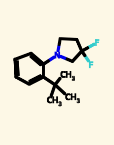 CC(C)(C)c1ccccc1N1CCC(F)(F)C1